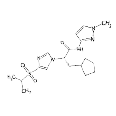 CC(C)S(=O)(=O)c1cn([C@@H](CC2CCCC2)C(=O)Nc2ccn(C)n2)cn1